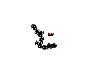 O=C(Nc1cccc(-c2ccc3[nH]c(C(=O)Nc4ccc(S(=O)(=O)[O-])cc4)cc3c2)c1)Nc1cccc(-c2ccc3[nH]c(C(=O)Nc4ccc(S(=O)(=O)[O-])cc4)cc3c2)c1.[Na+].[Na+]